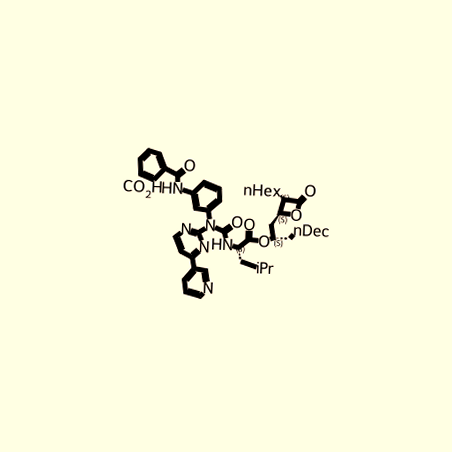 CCCCCCCCCCC[C@@H](C[C@@H]1OC(=O)[C@H]1CCCCCC)OC(=O)[C@H](CC(C)C)NC(=O)N(c1cccc(NC(=O)c2ccccc2C(=O)O)c1)c1nccc(-c2cccnc2)n1